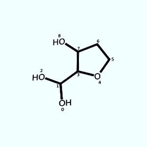 OC(O)C1OCCC1O